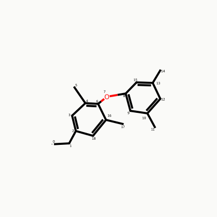 [CH2]Cc1cc(C)c(Oc2cc(C)cc(C)c2)c(C)c1